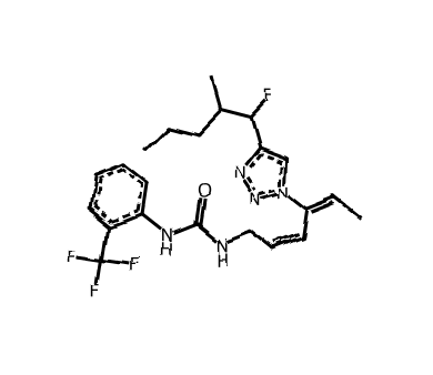 C/C=C(\C=C/CNC(=O)Nc1ccccc1C(F)(F)F)n1cc(C(F)C(C)CCC)nn1